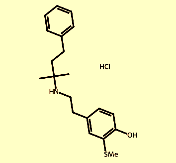 CSc1cc(CCNC(C)(C)CCc2ccccc2)ccc1O.Cl